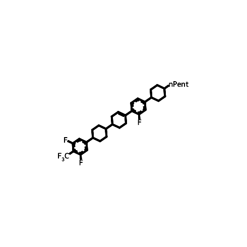 CCCCCC1CCC(c2ccc(C3=CCC(C4CCC(c5cc(F)c(C(F)(F)F)c(F)c5)CC4)CC3)c(F)c2)CC1